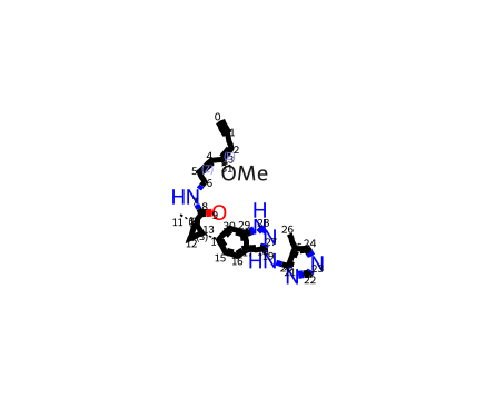 C#C/C=C(\C=C/CNC(=O)[C@]1(C)C[C@H]1c1ccc2c(Nc3ncncc3C)n[nH]c2c1)OC